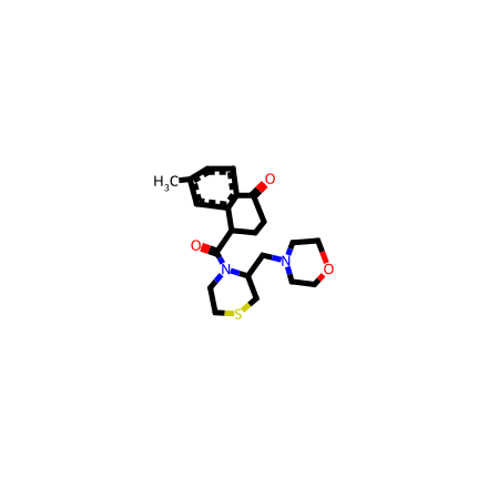 Cc1ccc2c(c1)C(C(=O)N1CCSCC1CN1CCOCC1)CCC2=O